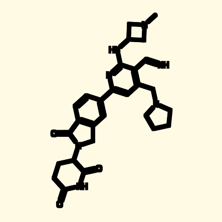 CN1CC(Nc2nc(-c3ccc4c(c3)CN(C3CCC(=O)NC3=O)C4=O)cc(CN3CCCC3)c2C=N)C1